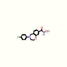 O=C(NO)c1ccc2c(c1)OCCN(c1ccc(F)cc1)C2